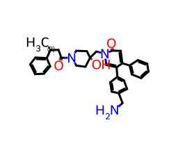 C[C@H](CC(=O)N1CCC(O)(Cn2cc(-c3ccc(CN)cc3)c(-c3ccccc3)cc2=O)CC1)c1ccccc1